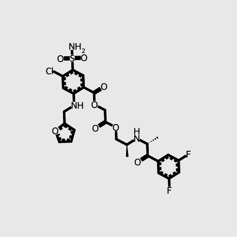 C[C@@H](COC(=O)COC(=O)c1cc(S(N)(=O)=O)c(Cl)cc1NCc1ccco1)N[C@H](C)C(=O)c1cc(F)cc(F)c1